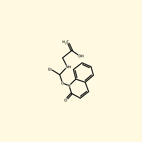 C=C(O)CNC(CC)On1c(=O)ccc2ccccc21